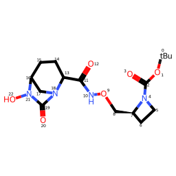 CC(C)(C)OC(=O)N1CC[C@H]1CONC(=O)C1CCC2CN1C(=O)N2O